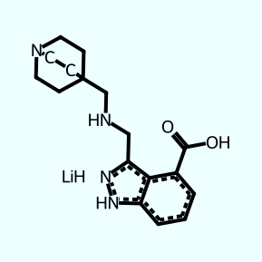 O=C(O)c1cccc2[nH]nc(CNCC34CCN(CC3)CC4)c12.[LiH]